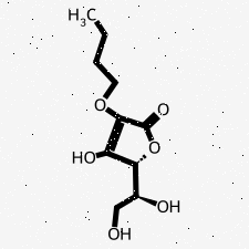 CCCCOC1=C(O)[C@@H]([C@@H](O)CO)OC1=O